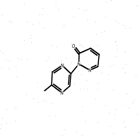 Cc1cnc(-n2ncccc2=O)cn1